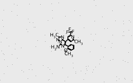 COc1ccccc1-c1nc(N)n2nc(C)nc2c1-c1cc(C)nc(C(F)(F)F)c1